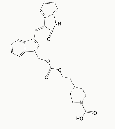 O=C(OCCC1CCN(C(=O)O)CC1)OCn1cc(C=C2C(=O)Nc3ccccc32)c2ccccc21